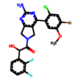 COc1cc(-c2nc(N)nc3c2CN(C(=O)C(O)c2cccc(F)c2F)C3)c(Cl)cc1Br